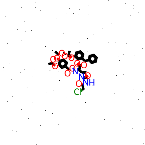 CC(=O)Oc1cc(C(=O)ON=C(C(=O)OC(c2ccccc2)c2ccccc2)c2coc(NC(=O)CCl)n2)cc(OC(C)=O)c1OC(C)=O